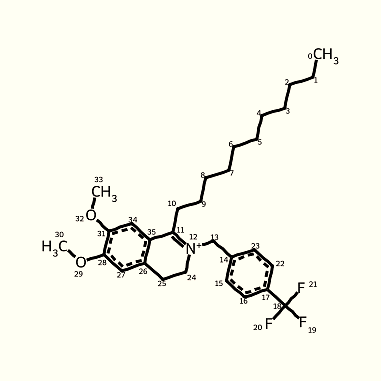 CCCCCCCCCCCC1=[N+](Cc2ccc(C(F)(F)F)cc2)CCc2cc(OC)c(OC)cc21